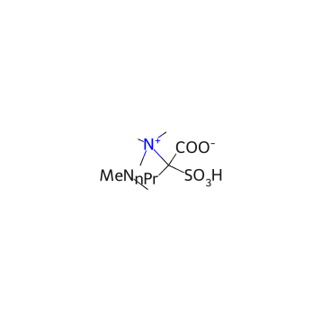 CCCC(C(=O)[O-])([N+](C)(C)C)S(=O)(=O)O.CNC